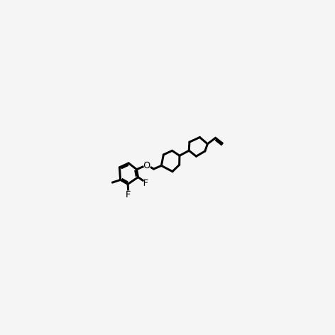 C=CC1CCC(C2CCC(COc3ccc(C)c(F)c3F)CC2)CC1